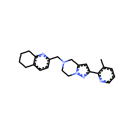 Cc1cccnc1-c1cc2n(n1)CCN(Cc1ccc3c(n1)CCCC3)C2